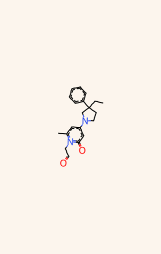 CCC1(c2ccccc2)CCN(c2cc(C)n(CC=O)c(=O)c2)C1